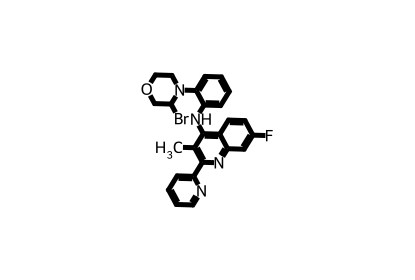 Cc1c(-c2ccccn2)nc2cc(F)ccc2c1Nc1ccccc1N1CCOCC1Br